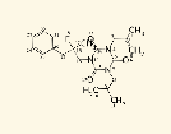 C=C(C)Cn1c(=O)n(CC(=C)C)c(=O)n(CC(C)(F)Cc2ccccc2)c1=O